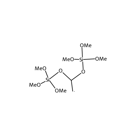 [CH2]C(O[Si](OC)(OC)OC)O[Si](OC)(OC)OC